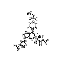 CC(C)CS(=O)(=O)N1CCN(c2cc(S(=O)(=O)NC3(C)CC3)cn3c(-c4nnc(C(F)F)s4)nnc23)CC1